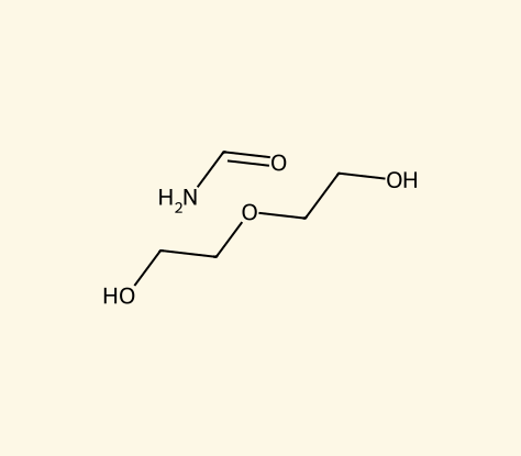 NC=O.OCCOCCO